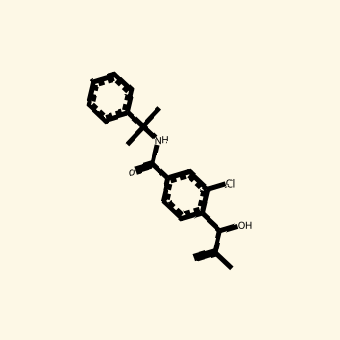 C=C(C)C(O)c1ccc(C(=O)NC(C)(C)c2ccccc2)cc1Cl